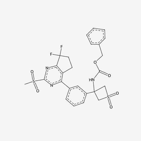 CS(=O)(=O)c1nc(-c2cccc(C3(NC(=O)OCc4ccccc4)CS(=O)(=O)C3)c2)c2c(n1)C(F)(F)CC2